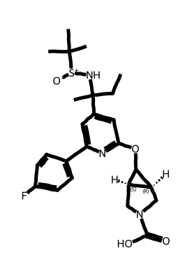 CCC(C)(N[S+]([O-])C(C)(C)C)c1cc(OC2[C@H]3CN(C(=O)O)C[C@@H]23)nc(-c2ccc(F)cc2)c1